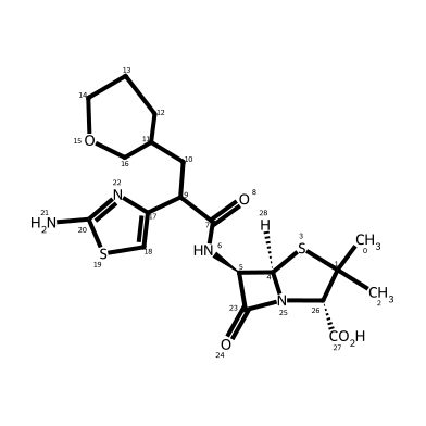 CC1(C)S[C@@H]2[C@H](NC(=O)C(CC3CCCOC3)c3csc(N)n3)C(=O)N2[C@H]1C(=O)O